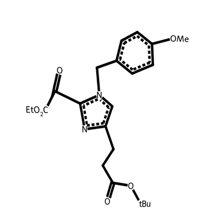 CCOC(=O)C(=O)c1nc(CCC(=O)OC(C)(C)C)cn1Cc1ccc(OC)cc1